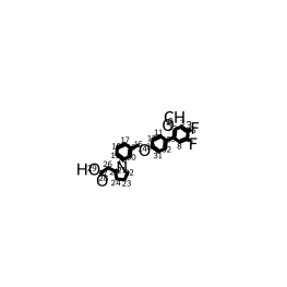 COc1cc(F)c(F)cc1-c1ccc(OCc2cccc(N3CCCC3CC(=O)O)c2)cc1